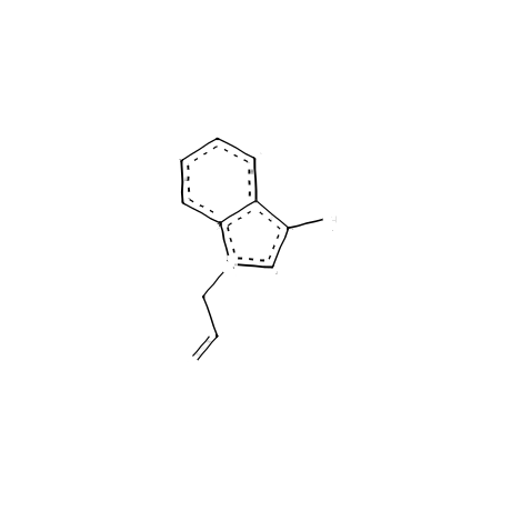 O=CCn1cc(Br)c2ccccc21